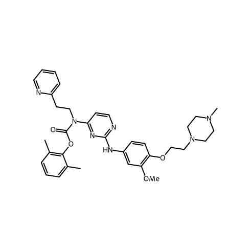 COc1cc(Nc2nccc(N(CCc3ccccn3)C(=O)Oc3c(C)cccc3C)n2)ccc1OCCN1CCN(C)CC1